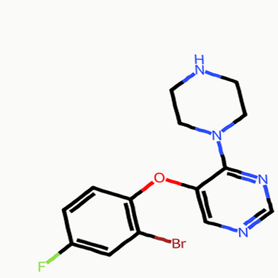 Fc1ccc(Oc2cncnc2N2CCNCC2)c(Br)c1